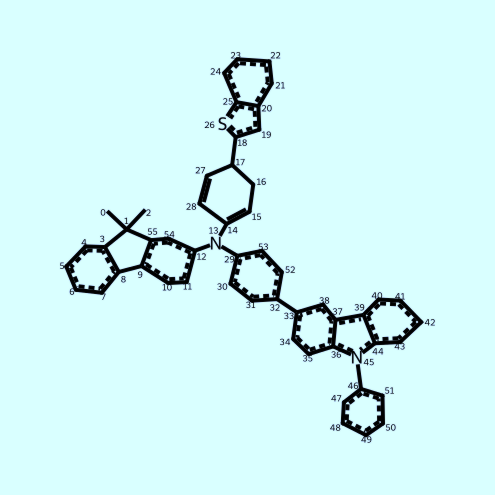 CC1(C)c2ccccc2-c2ccc(N(C3=CCC(c4cc5ccccc5s4)C=C3)c3ccc(-c4ccc5c(c4)c4ccccc4n5-c4ccccc4)cc3)cc21